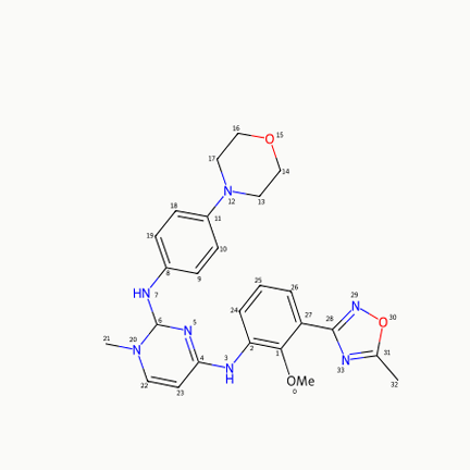 COc1c(NC2=NC(Nc3ccc(N4CCOCC4)cc3)N(C)C=C2)cccc1-c1noc(C)n1